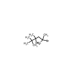 CC(C)(Br)CC(C)(C)C(C)(C)C